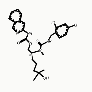 CN(C(=O)NCc1ccc(Cl)cc1Cl)[C@@H](CCCC(C)(C)O)COC(=O)Nc1cc2ccccc2cn1